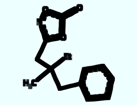 CCC(C)(Cc1ccccc1)Cc1noc(=O)o1